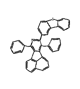 c1ccc(-c2nc(-c3ccc4sc5ccccc5c4c3)c(-c3ccccc3)c3c2-c2cccc4cccc-3c24)cc1